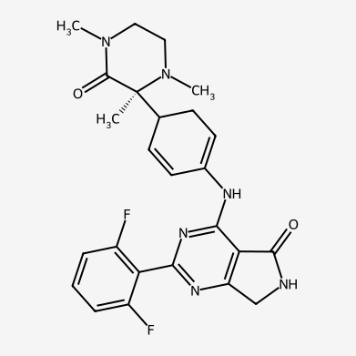 CN1CCN(C)[C@@](C)(C2C=CC(Nc3nc(-c4c(F)cccc4F)nc4c3C(=O)NC4)=CC2)C1=O